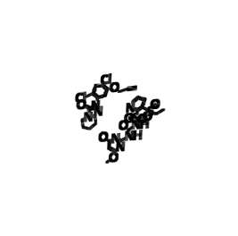 C#CCOc1cc(-n2nc3n(c2=O)CCCC3)c(Cl)cc1Cl.CCS(=O)(=O)c1cccnc1S(=O)(=O)NC(=O)Nc1nc(OC)cc(OC)n1